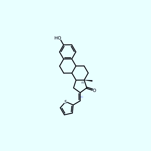 C[C@]12CCC3c4ccc(O)cc4CCC3C1C/C(=C\c1cccs1)C2=O